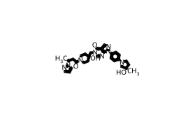 CC(CC(=O)N1CCC(O)(Cn2cnc3c(cnn3-c3ccc(N4CC[C@](C)(O)C4)cc3)c2=O)CC1)n1cccn1